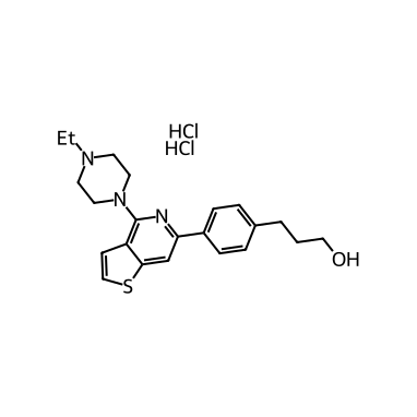 CCN1CCN(c2nc(-c3ccc(CCCO)cc3)cc3sccc23)CC1.Cl.Cl